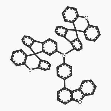 c1ccc2c(c1)Oc1ccccc1C21c2ccccc2-c2c(N(c3ccc(-c4cccc5oc6ccccc6c45)cc3)c3ccc4c(c3)C3(c5ccccc5Sc5ccccc53)c3ccccc3-4)cccc21